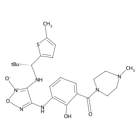 Cc1ccc([C@H](Nc2c(Nc3cccc(C(=O)N4CCN(C)CC4)c3O)no[n+]2[O-])C(C)(C)C)s1